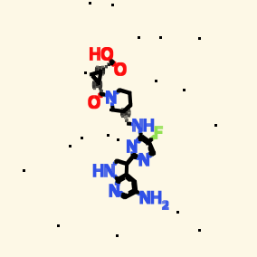 Nc1cnc2c(c1)C(c1ncc(F)c(NC[C@H]3CCCN(C(=O)[C@@H]4C[C@@H]4C(=O)O)C3)n1)CN2